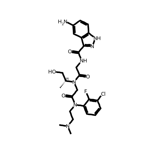 C[C@H](CO)N(CC(=O)N(CCN(C)C)c1cccc(Cl)c1F)C(=O)CNC(=O)c1n[nH]c2ccc(N)cc12